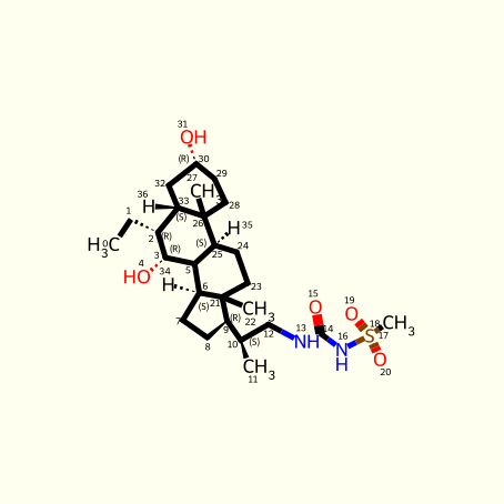 CC[C@H]1[C@@H](O)C2[C@@H]3CC[C@H]([C@H](C)CNC(=O)NS(C)(=O)=O)C3(C)CC[C@@H]2C2(C)CC[C@@H](O)C[C@@H]12